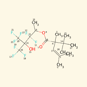 CC(C)=CC(C)(C(=O)OC(C)C(F)(F)C(O)(C(F)(F)F)C(F)(F)F)C(C)(C)C